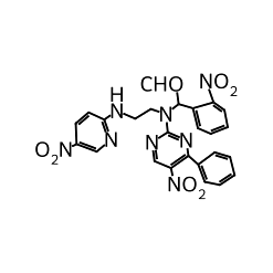 O=CC(c1ccccc1[N+](=O)[O-])N(CCNc1ccc([N+](=O)[O-])cn1)c1ncc([N+](=O)[O-])c(-c2ccccc2)n1